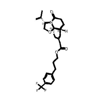 CC(C)[C@H]1CO[C@]23CCC(C(=O)OCCCc4ccc(C(F)(F)F)cc4)C[C@H]2CCC(=O)N13